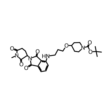 CN1C(=O)CCC(N2C(=O)c3cccc(NCCCOC4CCN(C(=O)OC(C)(C)C)CC4)c3C2=O)C1=O